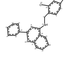 Clc1ccc(CNc2nc(-c3ccccc3)nc3ccccc23)c(Cl)c1